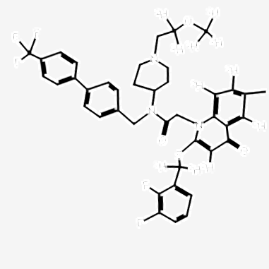 [2H]c1c(C)c([2H])c2c(=O)c([2H])c(SC([2H])([2H])c3cccc(F)c3F)n(CC(=O)N(Cc3ccc(-c4ccc(C(F)(F)F)cc4)cc3)C3CCN(CC([2H])([2H])OC([2H])([2H])[2H])CC3)c2c1[2H]